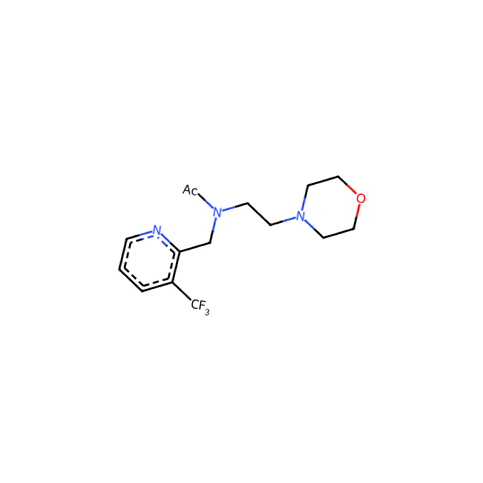 CC(=O)N(CCN1CCOCC1)Cc1ncccc1C(F)(F)F